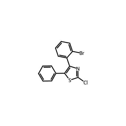 Clc1nc(-c2ccccc2Br)c(-c2ccccc2)s1